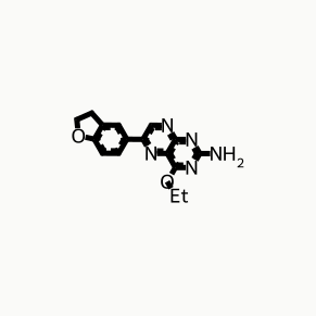 CCOc1nc(N)nc2ncc(-c3ccc4c(c3)CCO4)nc12